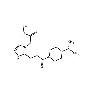 CCC(C)OC(=O)CN1C=CNC1CCC(=O)N1CCC(N(C)C)CC1